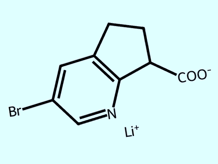 O=C([O-])C1CCc2cc(Br)cnc21.[Li+]